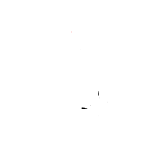 CCCCOC[C@H]1[C@@H](C/C=C\CCCC(=O)CO)[C@H]2CC[C@@H]1O2